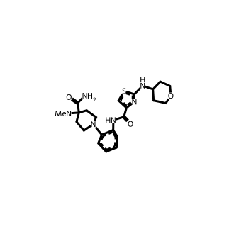 CNC1(C(N)=O)CCN(c2ccccc2NC(=O)c2csc(NC3CCOCC3)n2)CC1